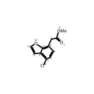 COC(=O)Cc1ccc(Cl)c2ccoc12